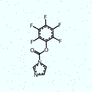 O=C(Oc1c(F)c(F)c(F)c(F)c1F)n1ccnc1